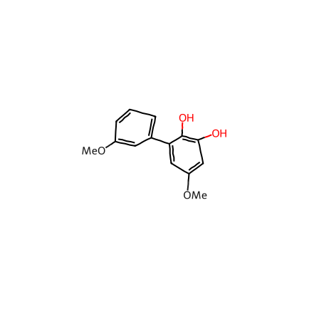 COc1cccc(-c2cc(OC)cc(O)c2O)c1